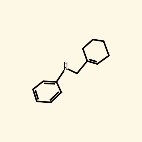 [c]1ccccc1NCC1=CCCCC1